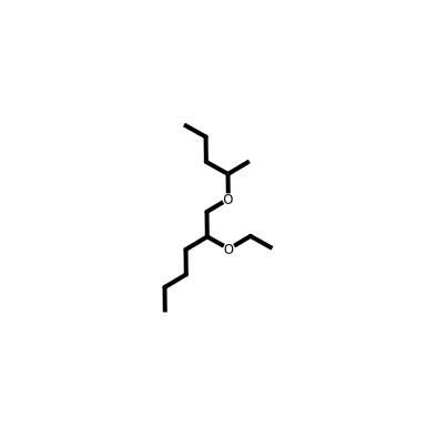 CCCCC(COC(C)CCC)OCC